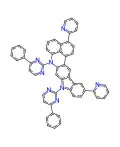 c1ccc(-c2ccnc(N3c4cc5c(cc4-c4ccc(-c6ccccn6)c6cccc3c46)c3cc(-c4ccccn4)ccc3n5-c3nccc(-c4ccccc4)n3)n2)cc1